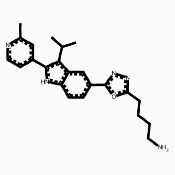 Cc1cc(-c2[nH]c3ccc(-c4nnc(CCCCN)o4)cc3c2C(C)C)ccn1